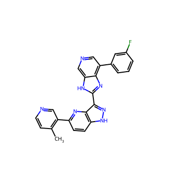 Cc1ccncc1-c1ccc2[nH]nc(-c3nc4c(-c5cccc(F)c5)cncc4[nH]3)c2n1